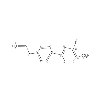 C=CCc1ccc(-c2ccc(C(=O)O)c(F)c2)cc1